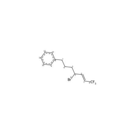 FC(F)(F)C=CC(Br)CCCc1ccccc1